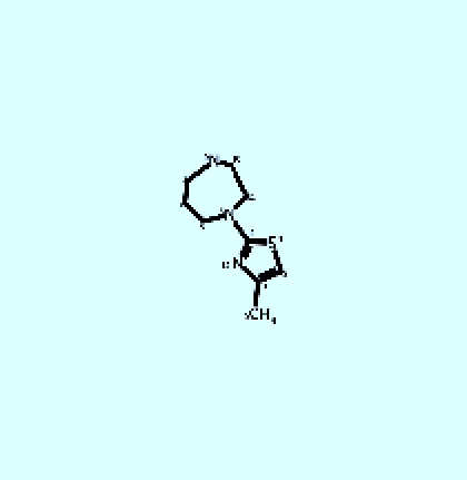 Cc1csc(N2CCC[N]CC2)n1